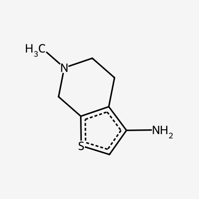 CN1CCc2c(N)csc2C1